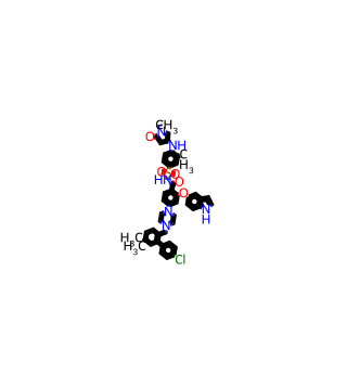 Cc1cc(S(=O)(=O)NC(=O)c2ccc(N3CCN(CC4=C(c5ccc(Cl)cc5)CC(C)(C)CC4)CC3)cc2Oc2ccc3[nH]ccc3c2)ccc1NC1CC(=O)N(C)C1